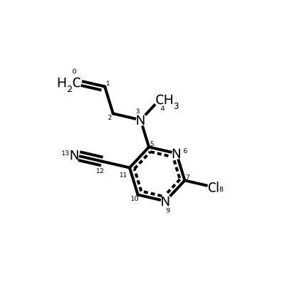 C=CCN(C)c1nc(Cl)ncc1C#N